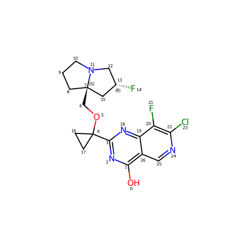 Oc1nc(C2(OC[C@@]34CCCN3C[C@H](F)C4)CC2)nc2c(F)c(Cl)ncc12